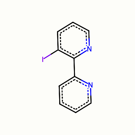 Ic1cccnc1-c1ccccn1